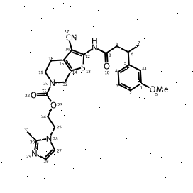 COc1cccc(C(C)CC(=O)Nc2sc3c(c2C#N)CCN(C(=O)OCCn2ccnc2C)C3)c1